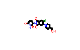 O=C1CCC(N2C(=O)C3=CC(N4CCC(CO)CC4)=C(F)CC3C2=O)C(=O)N1